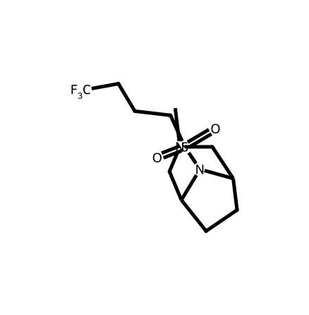 CN1CC2CCC(C1)N2S(=O)(=O)CCCC(F)(F)F